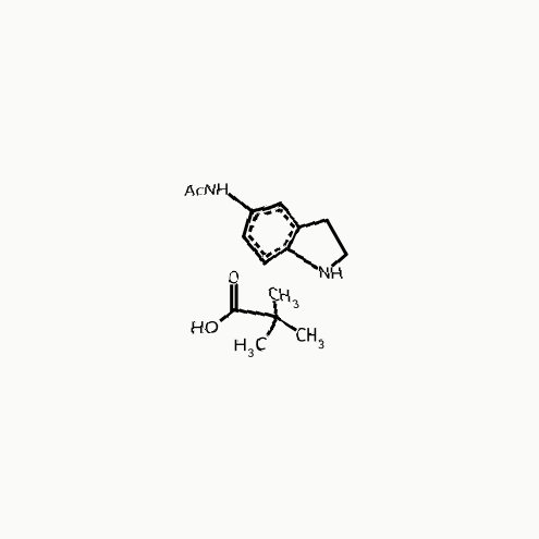 CC(=O)Nc1ccc2c(c1)CCN2.CC(C)(C)C(=O)O